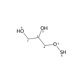 OCC(O)COS